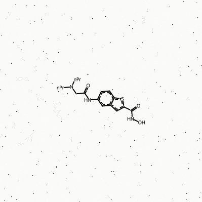 CCCN(CCC)CC(=O)Nc1ccc2sc(C(=O)NO)cc2c1